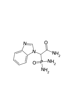 NC(=O)C(n1cnc2ccccc21)P(N)(N)=O